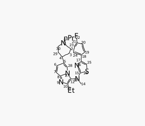 CCCN1CCC(c2ccc3nc(CC)c(N(C)c4nc(-c5ccc(F)cc5)cs4)n3c2)CC1